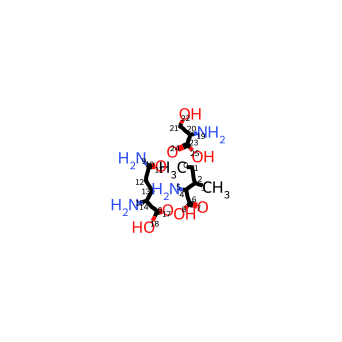 CCC(C)C(N)C(=O)O.NC(=O)CCC(N)C(=O)O.NC(CO)C(=O)O